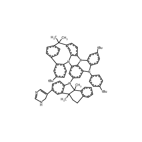 CC(C)(C)c1ccc(N2c3ccc(C(C)(C)C)cc3B3c4ccc5cc4N(c4ccc(C(C)(C)C)cc4-c4ccc(cc4)C5(C)C)c4cc(N5c6ccc(C7=CN=CNC7)cc6C6(C)CCc7ccccc7C56C)cc2c43)cc1